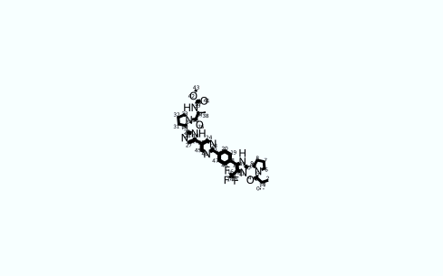 [CH2][C@@H](C)C(=O)N1CCC[C@H]1c1nc(C(F)(F)F)c(-c2ccc(-c3ncc(-c4cnc([C@@H]5CCCN5C(=O)[C@H](C)NC(=O)OC)[nH]4)cn3)cc2)[nH]1